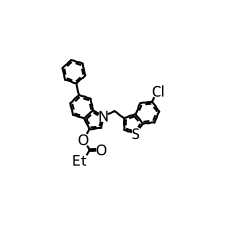 CCC(=O)Oc1cn(Cc2csc3ccc(Cl)cc23)c2cc(-c3ccccc3)ccc12